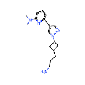 CN(C)c1cccc(-c2cnn(C3CC(CCCN)C3)c2)n1